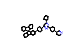 c1ccc(-c2cc(-c3ccc(-c4ccc5c(c4)C4(c6ccccc6-c6ccccc64)c4ccccc4-5)cc3)nc(-c3ccc(-c4cccnc4)cc3)n2)cc1